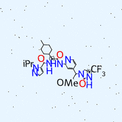 COCC(c1ccnc(NC(=O)[C@@H](NC(=O)c2ccnn2C(C)C)C2CCC(C)CC2)c1)N1C[C@@H](C(F)(F)F)NC1=O